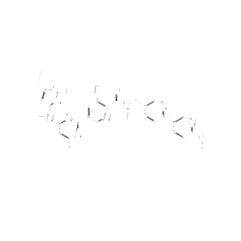 CCc1cc(Nc2cc(C)nc(-c3cnc(C(=O)NCc4ccc(-c5ccc(OC)nc5)nc4)c(F)c3)n2)n[nH]1